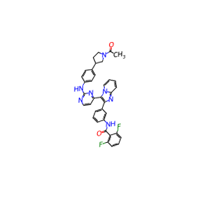 CC(=O)N1CCC(c2ccc(Nc3nccc(-c4c(-c5cccc(NC(=O)c6c(F)cccc6F)c5)nc5ccccn45)n3)cc2)C1